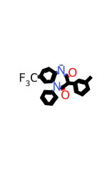 Cc1cccc(C2C(=O)N(C)c3ccc(C(F)(F)F)cc3N(c3ccccc3)C2=O)c1